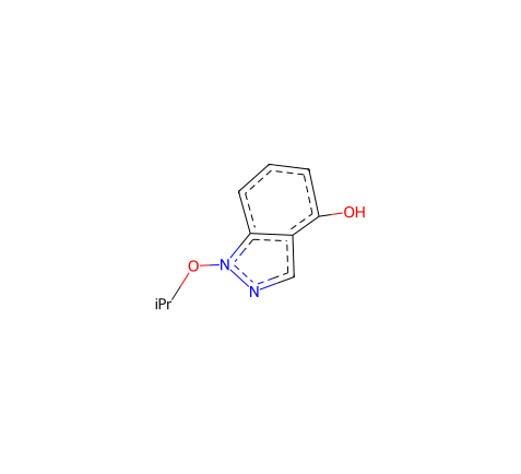 CC(C)On1ncc2c(O)cccc21